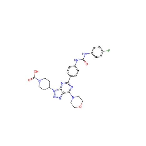 O=C(Nc1ccc(F)cc1)Nc1ccc(-c2nc(N3CCOCC3)c3nnn(C4CCN(C(=O)O)CC4)c3n2)cc1